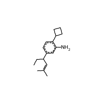 CCC(C=C(C)C)c1ccc(C2CCC2)c(N)c1